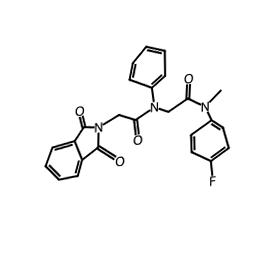 CN(C(=O)CN(C(=O)CN1C(=O)c2ccccc2C1=O)c1ccccc1)c1ccc(F)cc1